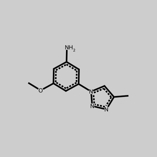 COc1cc(N)cc(-n2cc(C)nn2)c1